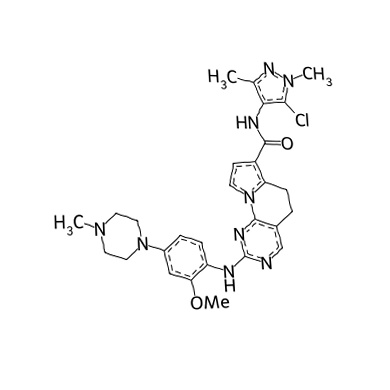 COc1cc(N2CCN(C)CC2)ccc1Nc1ncc2c(n1)-n1ccc(C(=O)Nc3c(C)nn(C)c3Cl)c1CC2